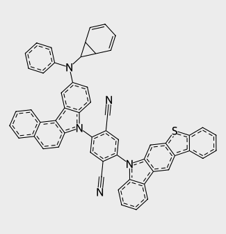 N#Cc1cc(-n2c3ccc(N(c4ccccc4)C4C5C=CC=CC54)cc3c3c4ccccc4ccc32)c(C#N)cc1-n1c2ccccc2c2cc3c(cc21)sc1ccccc13